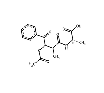 CC(=O)SC(C(=O)c1ccccc1)C(C)C(=O)N[C@@H](C)C(=O)O